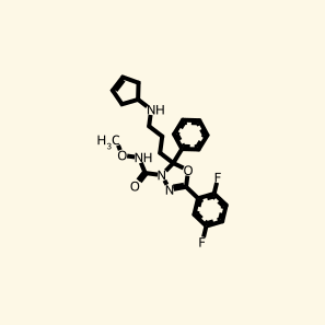 CONC(=O)N1N=C(c2cc(F)ccc2F)OC1(CCCNC1CC=CC1)c1ccccc1